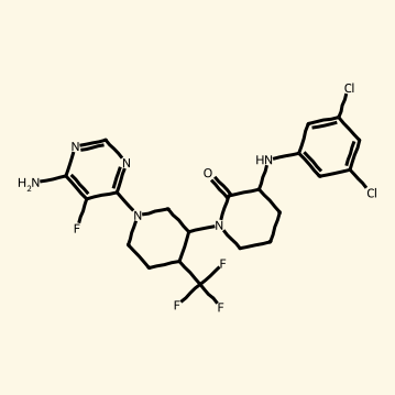 Nc1ncnc(N2CCC(C(F)(F)F)C(N3CCCC(Nc4cc(Cl)cc(Cl)c4)C3=O)C2)c1F